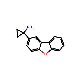 NC1(c2ccc3oc4ccccc4c3c2)CC1